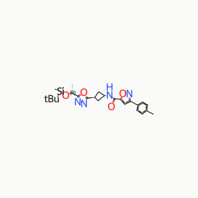 Cc1ccc(-c2cc(C(=O)N[C@H]3C[C@H](c4nnc([C@@H](C)O[Si](C)(C)C(C)(C)C)o4)C3)on2)cc1